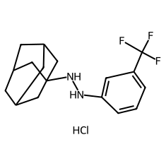 Cl.FC(F)(F)c1cccc(NNC23CC4CC(CC(C4)C2)C3)c1